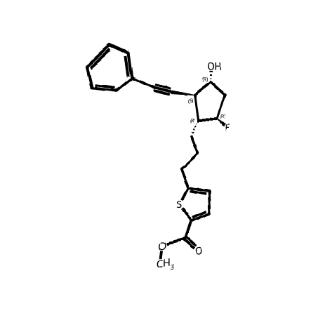 COC(=O)c1ccc(CCC[C@@H]2[C@@H](C#Cc3ccccc3)[C@H](O)C[C@H]2F)s1